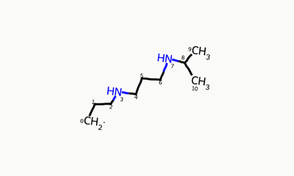 [CH2]CCNCCCNC(C)C